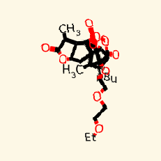 CCCC[C@@H]1CC2OC(=O)C34OOC(=O)C(OCCOCCOCC)C1(C)C23CC1OC(=O)C(C)C14